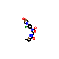 Cc1ccc(C(=O)NC[C@H]2CN(c3ccc(N4CC[S+]([O-])CC4)c(F)c3)C(=O)O2)s1